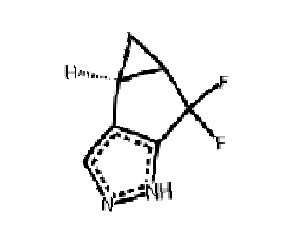 FC1(F)c2[nH]ncc2[C@H]2CC21